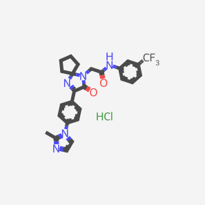 Cc1nccn1-c1ccc(C2=NC3(CCCC3)N(CC(=O)Nc3cccc(C(F)(F)F)c3)C2=O)cc1.Cl